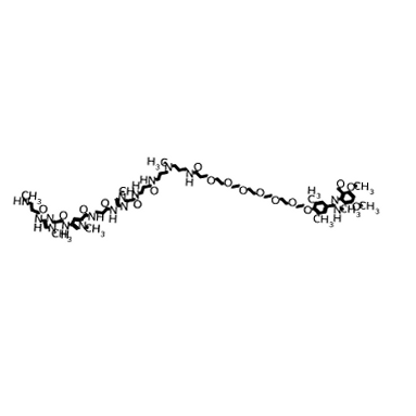 CNCCC(=O)Nc1cn(C)c(C(=O)Nc2cc(C(=O)NCCC(=O)Nc3cn(C)c(C(=O)NCCC(=O)NCCCN(C)CCCNC(=O)CCOCCOCCOCCOCCOCCOCCOc4c(C)cc(/C(=N/c5cc(OC)cc(OC)c5C=O)NC)cc4C)n3)n(C)c2)n1